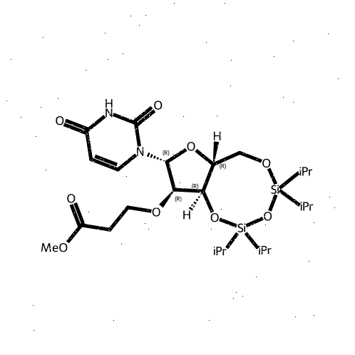 COC(=O)CCO[C@@H]1[C@@H]2O[Si](C(C)C)(C(C)C)O[Si](C(C)C)(C(C)C)OC[C@H]2O[C@H]1n1ccc(=O)[nH]c1=O